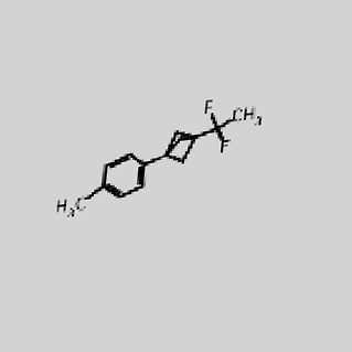 Cc1ccc(C23CC(C(C)(F)F)(C2)C3)cc1